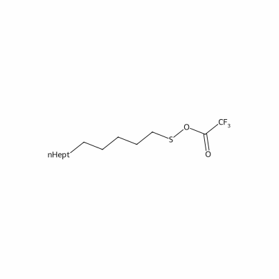 CCCCCCCCCCCCSOC(=O)C(F)(F)F